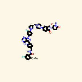 COc1ccc(F)cc1C(=O)NCc1ccc(-c2nn(-c3ccc(N4CC[C@@H](CN5CCN(c6ccc7c(c6)CN([C@H]6CCC(=O)NC6=O)C7=O)CC5)C4)c(F)c3)c3ncnc(N)c23)cc1